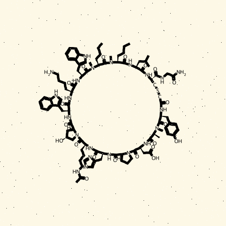 CCCC[C@H]1C(=O)N(C)[C@@H](CCCC)C(=O)N[C@@H](CC(C)C)C(=O)N[C@H](C(=O)NCC(N)=O)CSCC(=O)N[C@@H](Cc2ccc(O)cc2)C(=O)N(C)[C@@H](C)C(=O)N[C@@H](CC(=O)O)C(=O)N2CCC[C@H]2C(=O)N[C@@H](Cc2c[nH]cn2)C(=O)N[C@@H](CCCCNC(C)=O)C(=O)N2C[C@H](O)C[C@H]2C(=O)N[C@@H](Cc2c[nH]c3ccccc23)C(=O)N[C@@H](CCCCN)C(=O)N[C@@H](Cc2c[nH]c3ccccc23)C(=O)N1C